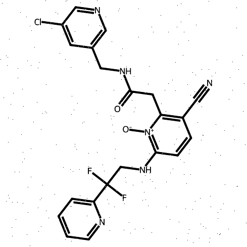 N#Cc1ccc(NCC(F)(F)c2ccccn2)[n+]([O-])c1CC(=O)NCc1cncc(Cl)c1